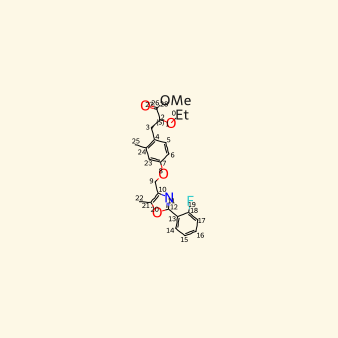 CCO[C@@H](Cc1ccc(OCc2nc(-c3ccccc3F)oc2C)cc1C)C(=O)OC